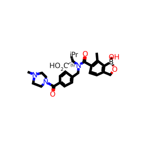 Cc1c(C(=O)N(Cc2ccc(C(=O)N3CCN(C)CC3)cc2)[C@H](C(=O)O)C(C)C)ccc2c1B(O)OC2